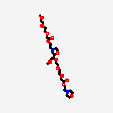 COCCOCCOCC(=O)OCCN1CCOC(C(COC)OCCOCCOCC(=O)OCCN2CCOCC2)C1